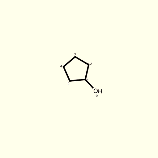 OC1[CH]CC[CH]1